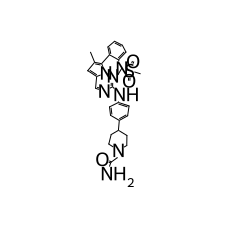 Cc1cc2cnc(Nc3ccc(C4CCN(CC(N)=O)CC4)cc3)nn2c1-c1ccccc1N(C)S(C)(=O)=O